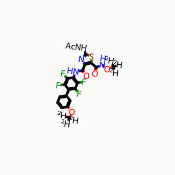 [2H]C([2H])([2H])ONC(=O)c1sc(NC(C)=O)nc1C(=O)Nc1c(F)c(F)c(-c2cccc(OC([2H])([2H])[2H])c2)c(F)c1F